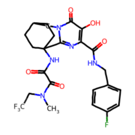 CN(CC(F)(F)F)C(=O)C(=O)NC12CCC(CC1)Cn1c2nc(C(=O)NCc2ccc(F)cc2)c(O)c1=O